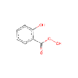 O=C(OO)c1ccccc1O